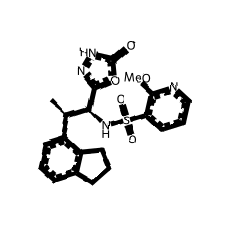 COc1ncccc1S(=O)(=O)N[C@H](c1n[nH]c(=O)o1)[C@H](C)c1cccc2c1CCC2